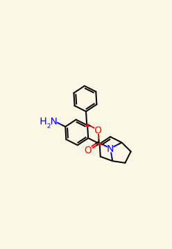 Nc1ccc(C2=CC3CCC(C2)N3C(=O)OCc2ccccc2)cc1